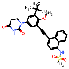 COc1c(C#Cc2ccc(NS(C)(=O)=O)c3ccccc23)cc(N2CCC(=O)NC2=O)cc1C(C)(C)C